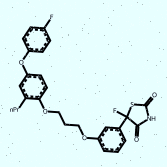 CCCc1cc(Oc2ccc(F)cc2)ccc1OCCCOc1cccc(C2(F)SC(=O)NC2=O)c1